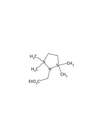 CCOC(=O)CN1[Si](C)(C)CC[Si]1(C)C